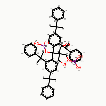 CC(C)(c1ccccc1)c1ccc(C(OP(O)O)(c2ccc(C(C)(C)c3ccccc3)cc2C(C)(C)c2ccccc2)C(CO)(CO)COP(O)O)c(C(C)(C)c2ccccc2)c1